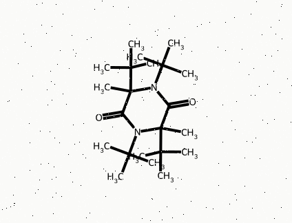 CC(C)(C)N1C(=O)C(C)(C(C)(C)C)N(C(C)(C)C)C(=O)C1(C)C(C)(C)C